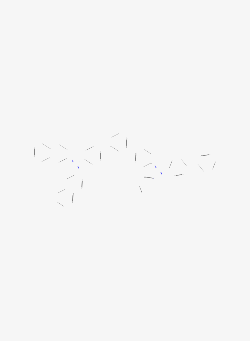 C1=Cc2c(n(-c3ccc(-c4ccccc4)cc3)c3ccc(-c4cccc(-c5ccc(N(c6ccc7ccccc7c6)c6ccc7ccccc7c6)cc5)c4)cc23)CC1